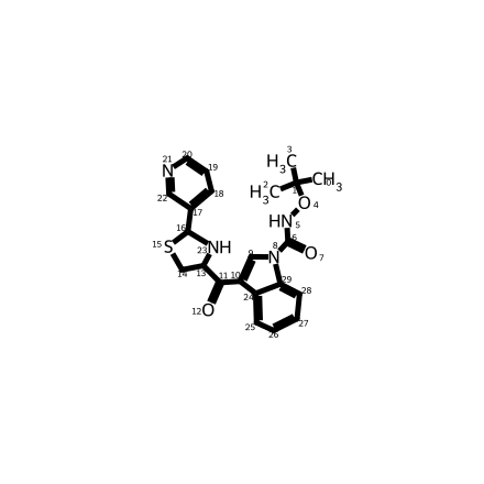 CC(C)(C)ONC(=O)n1cc(C(=O)C2CSC(c3cccnc3)N2)c2ccccc21